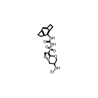 CCNC1COc2c(S(=O)(=O)NC(=O)Nc3c4c(cc5c3CC5)CC4)cnn2C1